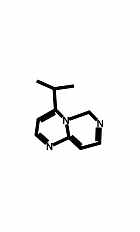 CC(C)C1=CC=NC2=CC=NCN21